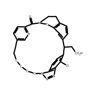 O=C(O)CC1c2ccc3c(c2)CN(CC3)C(=O)c2ccc(cn2)CCCCCn2nnc3c(Cl)c1ccc32